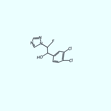 OC(c1ccc(Cl)c(Cl)c1)C(F)n1cncn1